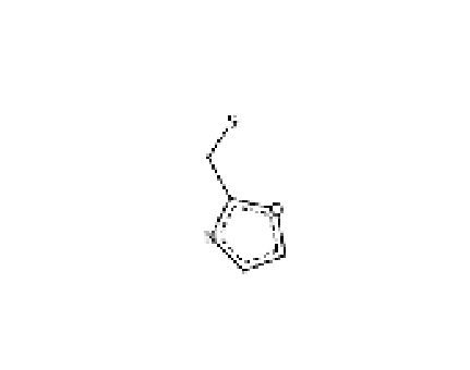 [S]Cc1ncco1